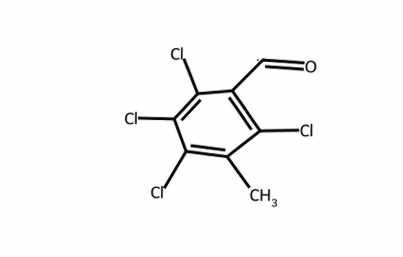 Cc1c(Cl)c(Cl)c(Cl)c([C]=O)c1Cl